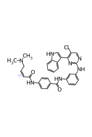 CN(C)C/C=C\C(=O)Nc1ccc(C(=O)Nc2cccc(Nc3ncc(Cl)c(-c4c[nH]c5ccccc45)n3)c2)cc1